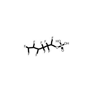 O=P(O)(O)OC(F)C(F)(F)C(F)(F)C(F)C(F)C(F)F